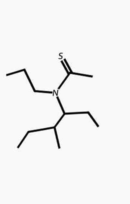 CCCN(C(C)=S)C(CC)C(C)CC